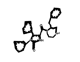 O=C(c1[nH]c(=O)n(-c2ccccc2)c1-c1ccccc1)N1CCNCC1Cc1ccccc1